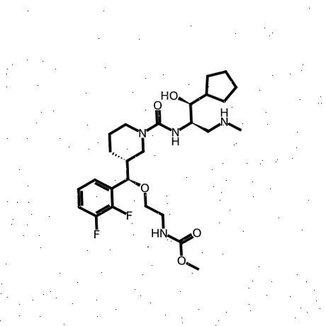 CNC[C@@H](NC(=O)N1CCC[C@@H]([C@@H](OCCNC(=O)OC)c2cccc(F)c2F)C1)[C@@H](O)C1CCCC1